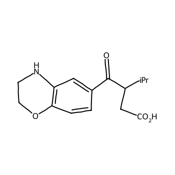 CC(C)C(CC(=O)O)C(=O)c1ccc2c(c1)NCCO2